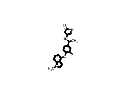 CC[C@H]1CC(NC(C)c2ccc(Oc3cccc4c3ccn4C)c(F)c2)=CN1